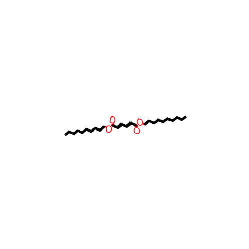 CCCCCCCCCCOC(=O)C=CC=CC(=O)OCCCCCCCCCC